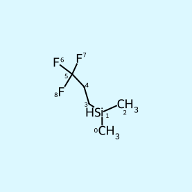 C[SiH](C)CCC(F)(F)F